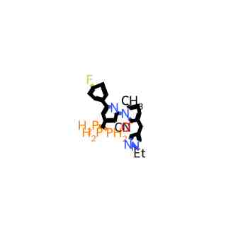 CCn1cc(Cc2ccc(C)n(-c3nc(-c4ccc(F)cc4)cc(C(P)(P)P)c3C#N)c2=O)cn1